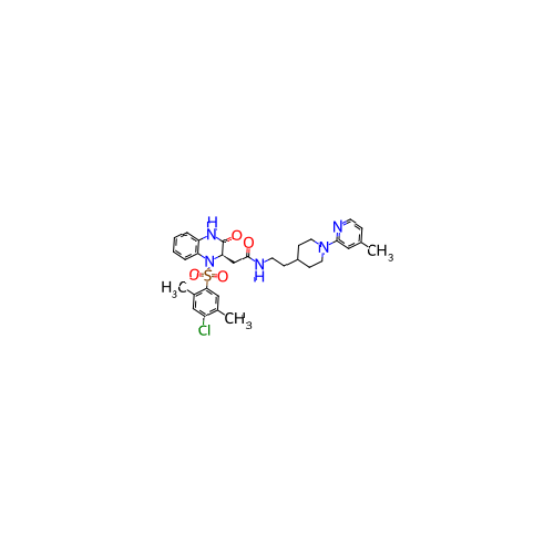 Cc1ccnc(N2CCC(CCNC(=O)C[C@@H]3C(=O)Nc4ccccc4N3S(=O)(=O)c3cc(C)c(Cl)cc3C)CC2)c1